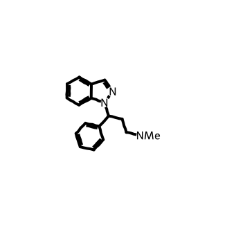 CNCCC(c1ccccc1)n1ncc2ccccc21